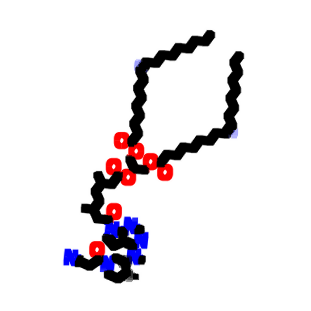 CCCCCCCC/C=C\CCCCCCCC(=O)OCC(COC(=O)CCCCCCC/C=C\CCCCCCCC)OC(=O)CC(C)CCC(C)CC(=O)n1ccc2c(N(C)[C@H]3CN(C(=O)CC#N)CC[C@H]3C)ncnc21